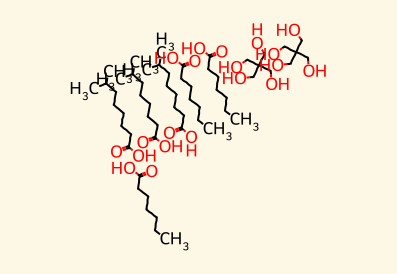 CC(C)CCCCCC(=O)O.CC(C)CCCCCC(=O)O.CC(C)CCCCCC(=O)O.CCCCCCC(=O)O.CCCCCCC(=O)O.CCCCCCC(=O)O.OCC(CO)(CO)CO.OCC(CO)(CO)CO